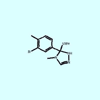 CSC1(c2ccc(C)c(Br)c2)NN=CN1C